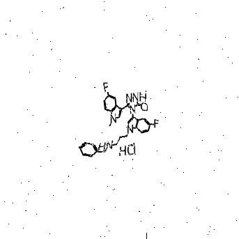 Cl.Cn1cc(-c2n[nH]c(=O)n2-c2cn(CCCNCc3ccccc3)c3ccc(F)cc23)c2cc(F)ccc21